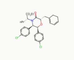 CCC[C@H](C(=O)OCC)N1C(=O)[C@H](CC2=CC=CCC2)O[C@@H](c2ccc(Cl)cc2)[C@H]1c1ccc(Cl)cc1